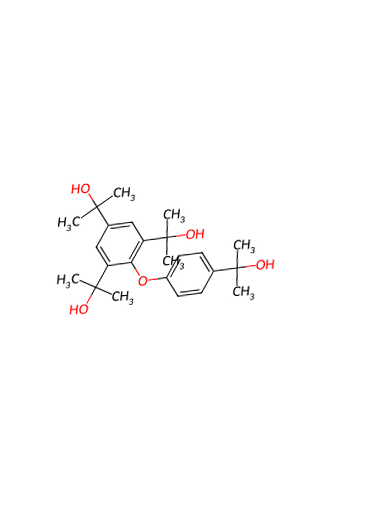 CC(C)(O)c1ccc(Oc2c(C(C)(C)O)cc(C(C)(C)O)cc2C(C)(C)O)cc1